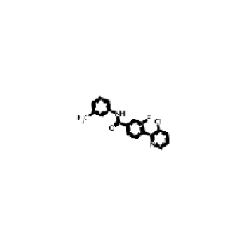 O=C(Nc1cccc(C(F)(F)F)c1)c1ccc(-c2ncccc2Cl)c(F)c1